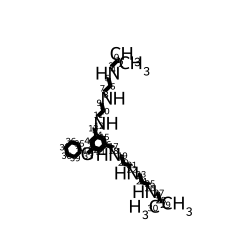 CC(C)CNCCCNCCCNCc1cc(CNCCCNCCCNCC(C)C)cc(OC2CCCCC2)c1